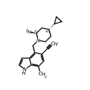 [2H][C@H]1C[C@H](C2CC2)CCN1Cc1c(C#C)cc(C)c2[nH]ccc12